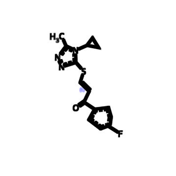 Cc1nnc(S/C=C/C(=O)c2ccc(F)cc2)n1C1CC1